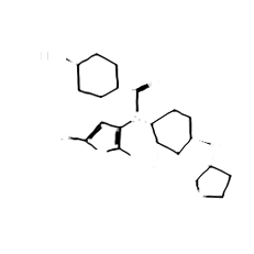 CC(C)(C)c1cc(N(C(=O)[C@H]2CC[C@H](C)CC2)[C@H]2CC[C@H](O[C@@H]3CCOC3)CC2)c(C(=O)O)s1